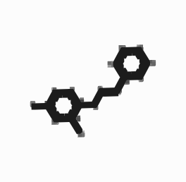 Cc1ccc(CC=Cc2ccccc2)c(C)c1